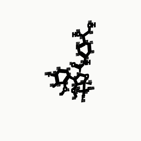 COc1c([C@H]2[C@H](C(=O)Nc3ccc([C@@H](O)CO)nc3)O[C@@](C)(C(F)(F)F)[C@H]2OC)ccc(F)c1C